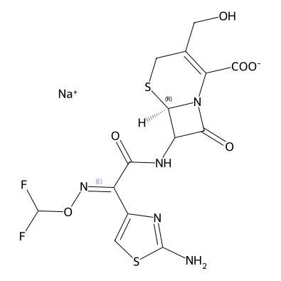 Nc1nc(/C(=N\OC(F)F)C(=O)NC2C(=O)N3C(C(=O)[O-])=C(CO)CS[C@H]23)cs1.[Na+]